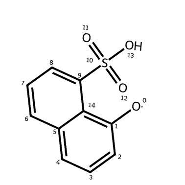 [O]c1cccc2cccc(S(=O)(=O)O)c12